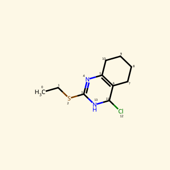 CCSC1=NC2=C(CCCC2)C(Cl)N1